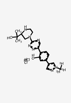 Cl.Cl.[2H]C([2H])([2H])n1cc(-c2ccc(-c3cnc(N4CCNC(C(C)(C)O)C4)nn3)c(O)c2)cn1